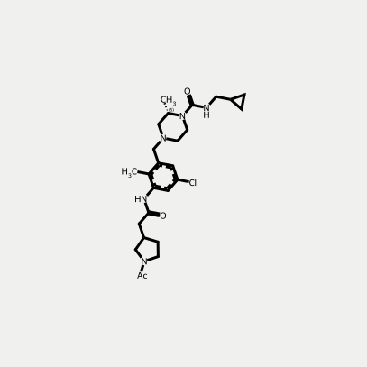 CC(=O)N1CCC(CC(=O)Nc2cc(Cl)cc(CN3CCN(C(=O)NCC4CC4)[C@@H](C)C3)c2C)C1